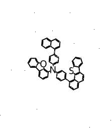 c1ccc2c(-c3ccc(N(c4ccc(-c5cccc6ccc7c8ccccc8sc7c56)cc4)c4cccc5c4oc4ccccc45)cc3)cccc2c1